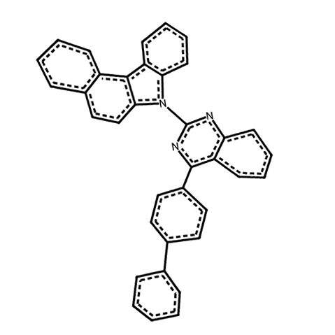 c1ccc(-c2ccc(-c3nc(-n4c5ccccc5c5c6ccccc6ccc54)nc4ccccc34)cc2)cc1